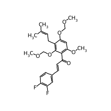 COCOc1cc(OC)c(C(=O)/C=C/c2ccc(F)c(F)c2)c(OCOC)c1CC=C(C)C